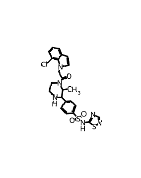 CC1C(c2ccc(S(=O)(=O)Nc3ncns3)cc2)NCCN1C(=O)Cn1ccc2cccc(Cl)c21